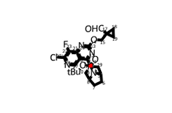 CC(C)(C)OC(=O)N1C2CCC1CN(c1nc(OCC3(C=O)CC3)nc3c(F)c(Cl)ncc13)C2